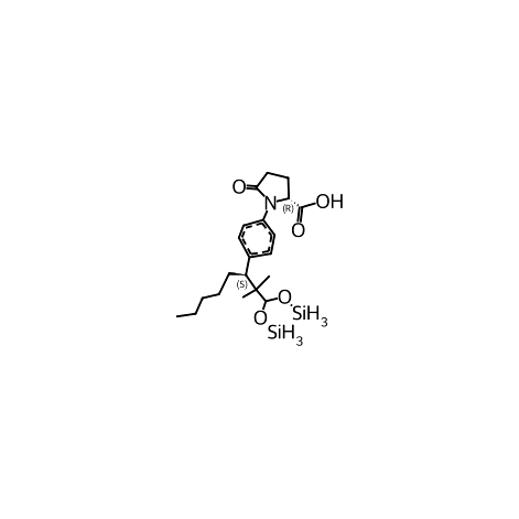 CCCCC[C@@H](c1ccc(N2C(=O)CC[C@@H]2C(=O)O)cc1)C(C)(C)C(O[SiH3])O[SiH3]